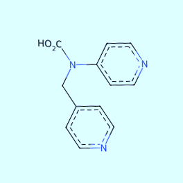 O=C(O)N(Cc1ccncc1)c1ccncc1